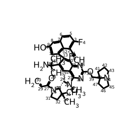 C#Cc1c(F)ccc2cc(O)cc(-c3c(C(C)(C)N)cc4c(N(C)C[C@H]5N(C(=O)C=C)CCC5(C)C)nc(OCC56CCCN5CCC6)nc4c3F)c12